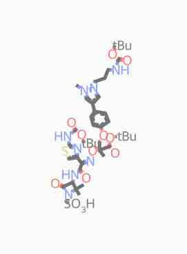 C[n+]1cc(-c2ccc(OCC(C)(ON=C(C(=O)NC3C(=O)N(S(=O)(=O)O)C3(C)C)c3csc(NC(=O)OC(C)(C)C)n3)C(=O)OC(C)(C)C)cc2)cn1CCCNC(=O)OC(C)(C)C